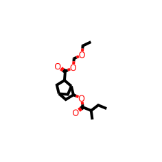 CCOCOC(=O)C1CC2CC(OC(=O)C(C)CC)C1C2